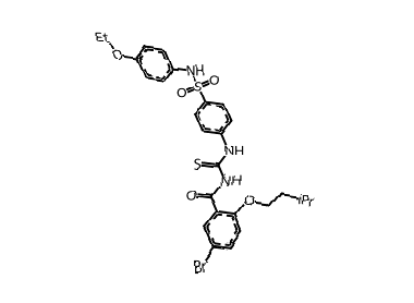 CCOc1ccc(NS(=O)(=O)c2ccc(NC(=S)NC(=O)c3cc(Br)ccc3OCCC(C)C)cc2)cc1